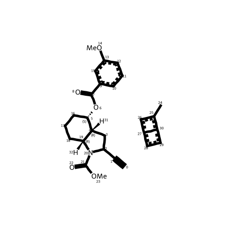 C#CC1C[C@H]2[C@@H](OC(=O)c3cccc(OC)c3)CCC[C@H]2N1C(=O)OC.Cc1cc2ccc1-2